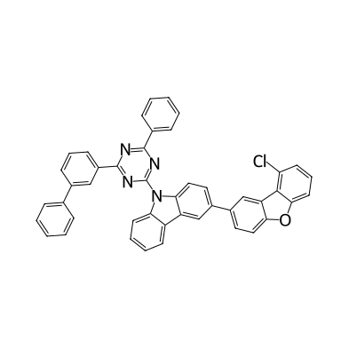 Clc1cccc2oc3ccc(-c4ccc5c(c4)c4ccccc4n5-c4nc(-c5ccccc5)nc(-c5cccc(-c6ccccc6)c5)n4)cc3c12